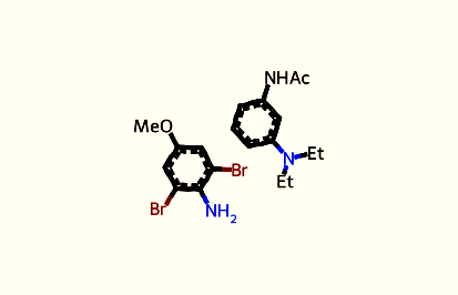 CCN(CC)c1cccc(NC(C)=O)c1.COc1cc(Br)c(N)c(Br)c1